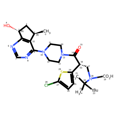 C[C@@H]1C[C@@H](O)c2ncnc(N3CCN(C(=O)[C@H](CN(C(=O)O)C(C)(C)C(C)(C)C)c4ccc(Cl)s4)CC3)c21